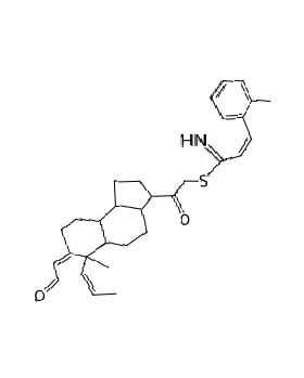 C/C=C\C1(C)/C(=C\C=O)CCC2C3CCC(C(=O)CSC(=N)/C=C\c4ccccc4C)C3CCC21